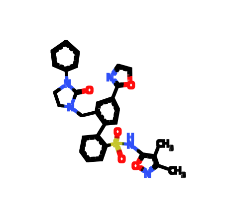 Cc1noc(NS(=O)(=O)c2ccccc2-c2ccc(-c3ncco3)cc2CN2CCN(c3ccccc3)C2=O)c1C